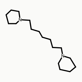 C(CCCN1CCCCC1)CCCN1CCCCC1